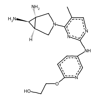 Cc1cnc(Nc2ccc(OCCO)nc2)nc1N1C[C@H]2[C@@H](N)[C@@]2(N)C1